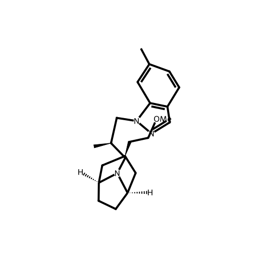 COCC[C@H]1C[C@H]2CC[C@@H](C1)N2C[C@@H](C)Cn1ncc2ccc(C)cc21